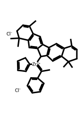 CC1=CCC(C)(C)c2cc3c(cc21)-c1cc2c(cc1[CH]3/[Zr+2]([C]1=CC=CC1)=[C](\C)c1ccccc1)C(C)(C)CC=C2C.[Cl-].[Cl-]